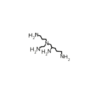 NCCCC(N)CN(CCN)CCCN